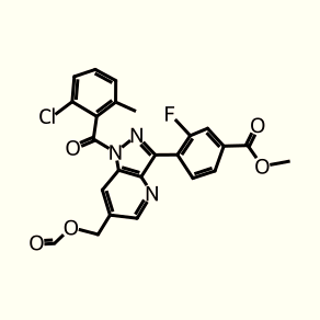 COC(=O)c1ccc(-c2nn(C(=O)c3c(C)cccc3Cl)c3cc(COC=O)cnc23)c(F)c1